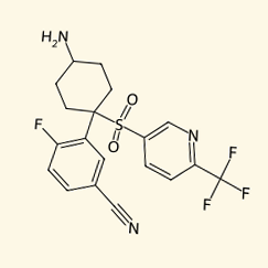 N#Cc1ccc(F)c(C2(S(=O)(=O)c3ccc(C(F)(F)F)nc3)CCC(N)CC2)c1